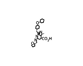 Cc1nn(Cc2ccc(Oc3ccccc3)cc2)c2nc(/N=C/c3ccco3)cc(C(=O)O)c12